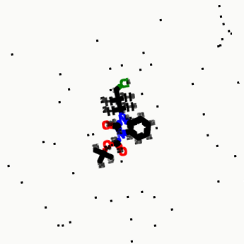 [2H]C([2H])(CCl)C([2H])([2H])n1c(=O)n(C(=O)OC(C)(C)C)c2ccccc21